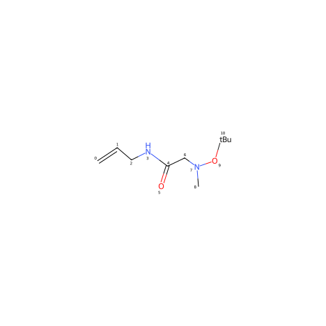 C=CCNC(=O)CN(C)OC(C)(C)C